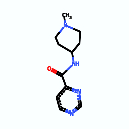 CN1CCC(NC(=O)c2ccncn2)CC1